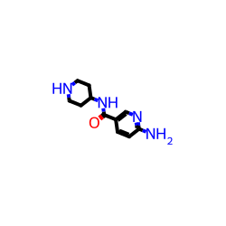 Nc1ccc(C(=O)NC2CCNCC2)cn1